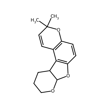 CC1(C)C=Cc2c(ccc3c2C2CCCOC2O3)O1